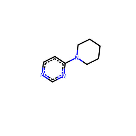 c1cc(N2CCCCC2)ncn1